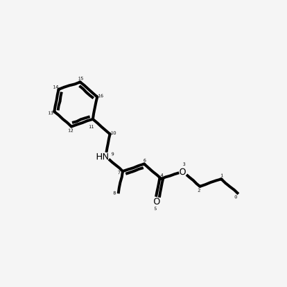 CCCOC(=O)C=C(C)NCc1ccccc1